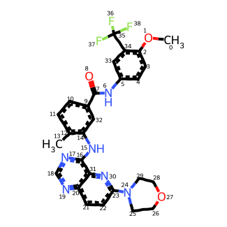 COc1ccc(NC(=O)c2ccc(C)c(Nc3ncnc4ccc(N5CCOCC5)nc34)c2)cc1C(F)(F)F